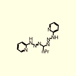 CCCC(N=NNc1ccccn1)N=NNc1ccccn1